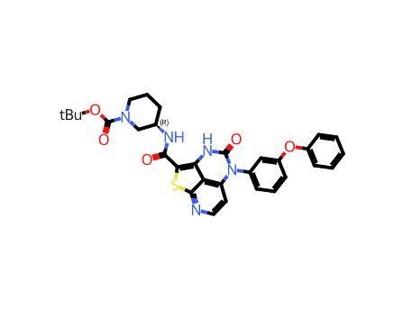 CC(C)(C)OC(=O)N1CCC[C@@H](NC(=O)c2sc3nccc4c3c2NC(=O)N4c2cccc(Oc3ccccc3)c2)C1